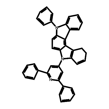 C1=Cc2c(c3c4c5ccccc5n(-c5ccccc5)c4ccc3n2-c2cc(-c3ccccc3)nc(-c3ccccc3)c2)CC1